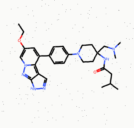 CCOc1cc(-c2ccc(N3CCC(CN(C)C)(NC(=O)CC(C)C)CC3)cc2)c2c3cn[nH]c3nn2c1